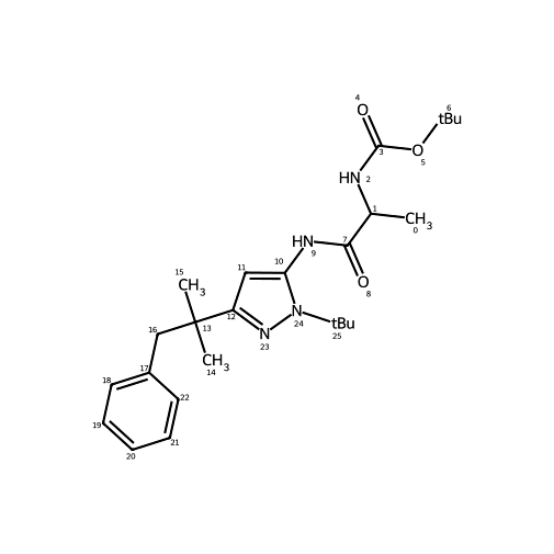 CC(NC(=O)OC(C)(C)C)C(=O)Nc1cc(C(C)(C)Cc2ccccc2)nn1C(C)(C)C